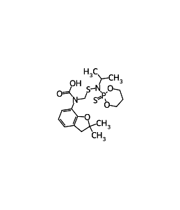 CC(C)N(SCN(C(=O)O)c1cccc2c1OC(C)(C)C2)P1(=S)OCCCO1